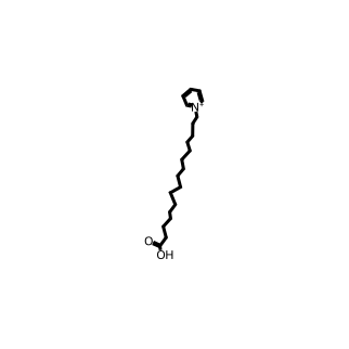 O=C(O)CCCCCCCCCCCCCCC[n+]1ccccc1